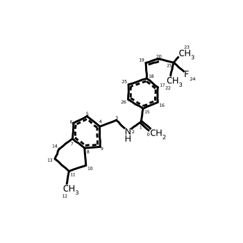 C=C(NCc1ccc2c(c1)CC(C)CC2)c1ccc(/C=C\C(C)(C)F)cc1